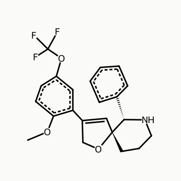 COc1ccc(OC(F)(F)F)cc1C1=C[C@@]2(CCCN[C@H]2c2ccccc2)OC1